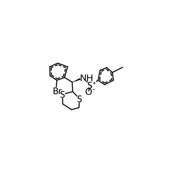 Cc1ccc([S+]([O-])N[C@H](c2ccccc2Br)C2SCCCS2)cc1